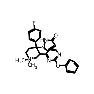 C[N+]1(C)CCC(c2ccc(F)cc2)(n2ccc(=O)[nH]2)C(c2ccnc(Oc3ccccc3)n2)C1